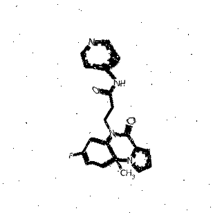 C[C@@]12CC=C(F)C=C1N(CCC(=O)Nc1ccncc1)C(=O)c1cccn12